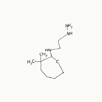 CC1(C)CCCCCC1NCCNN